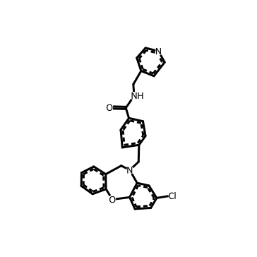 O=C(NCc1ccncc1)c1ccc(CN2Cc3ccccc3Oc3ccc(Cl)cc32)cc1